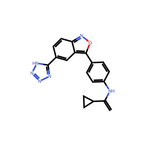 C=C(Nc1ccc(-c2onc3ccc(-c4nnn[nH]4)cc23)cc1)C1CC1